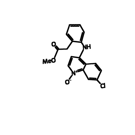 COC(=O)Cc1ccccc1Nc1cc[n+]([O-])c2cc(Cl)ccc12